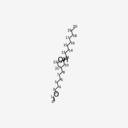 C=COCCCCCCCCCCCCCCCCCC.CCO